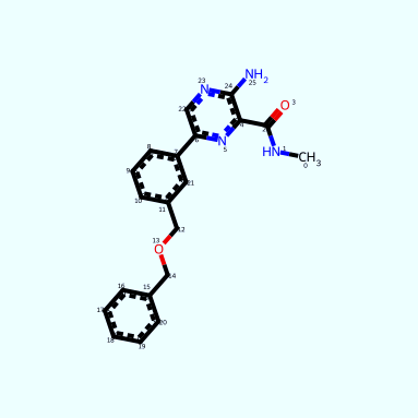 CNC(=O)c1nc(-c2cccc(COCc3ccccc3)c2)cnc1N